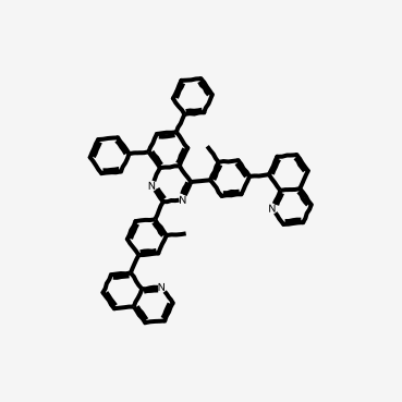 Cc1cc(-c2cccc3cccnc23)ccc1-c1nc(-c2ccc(-c3cccc4cccnc34)cc2C)c2cc(-c3ccccc3)cc(-c3ccccc3)c2n1